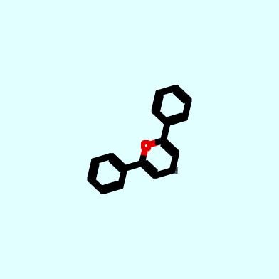 [C]1C=C(c2ccccc2)OC(c2ccccc2)=C1